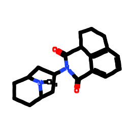 CN1C2CCCC1CC(N1C(=O)c3cccc4c3C(CCC4)C1=O)C2